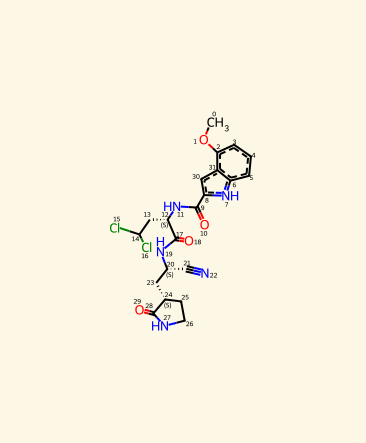 COc1cccc2[nH]c(C(=O)N[C@@H](CC(Cl)Cl)C(=O)N[C@H](C#N)C[C@@H]3CCNC3=O)cc12